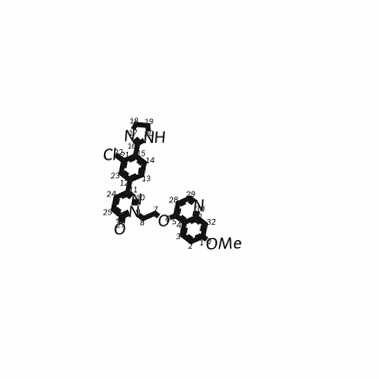 COc1ccc2c(OCCn3nc(-c4ccc(C5=NCCN5)c(Cl)c4)ccc3=O)ccnc2c1